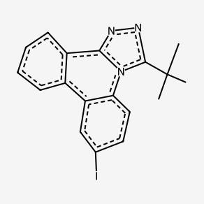 CC(C)(C)c1nnc2c3ccccc3c3cc(I)ccc3n12